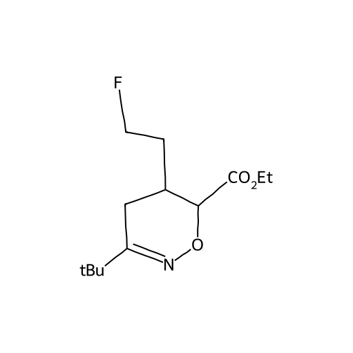 CCOC(=O)C1ON=C(C(C)(C)C)CC1CCF